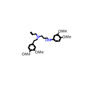 C=CCN(CCCNc1ccc(OC)c(OC)c1)CCc1ccc(OC)c(OC)c1